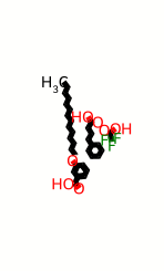 CCCCCCCCCCCCCCOc1cccc(C(=O)O)c1.O=C(O)C(F)(F)F.O=C(O)CCCC1CCCCC1